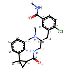 CNC(=O)c1ccc(Cl)c(C[C@@H](CNC(=O)C2CC2(C)c2ccccc2)N(C)C)c1